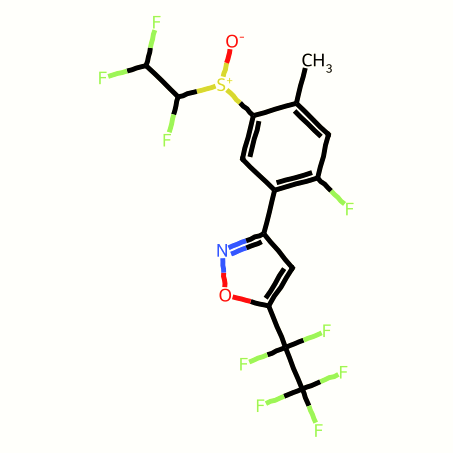 Cc1cc(F)c(-c2cc(C(F)(F)C(F)(F)F)on2)cc1[S+]([O-])C(F)C(F)F